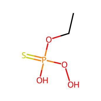 CCOP(O)(=S)OO